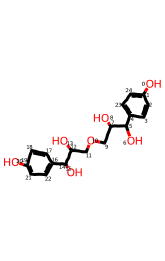 Oc1ccc(C(O)C(O)COCC(O)C(O)c2ccc(O)cc2)cc1